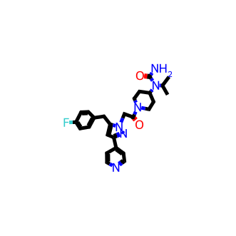 CC(C)N(C(N)=O)C1CCN(C(=O)Cn2nc(-c3ccncc3)cc2Cc2ccc(F)cc2)CC1